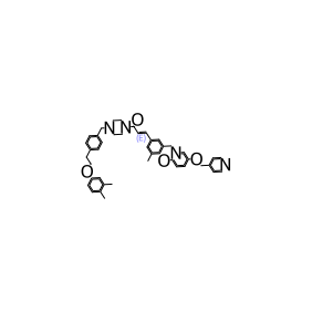 Cc1ccc(OCCc2ccc(CN3CCN(C(=O)/C=C/c4cc(C)c(Oc5ccc(OCc6ccncc6)cn5)c(C)c4)CC3)cc2)cc1C